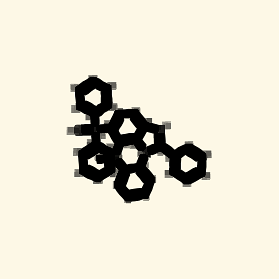 CN1c2ccccc2-n2c(-c3ccccc3)nc3ccc(P(=O)(c4ccccc4)c4ccccc4)c1c32